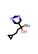 CC(C)(C)C(O)(CCC1CC1)c1cncnc1